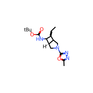 C/C=C1\C2CN(c3nnc(C)o3)C[C@H]2C1NC(=O)OC(C)(C)C